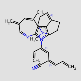 C=C/C=C(C#N)\C=C(/C=C)n1cc(/C2=C\CCN(C)CCC2)c2c1N=CC(=C)C=C2C